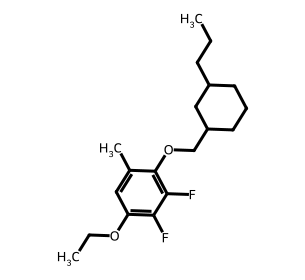 CCCC1CCCC(COc2c(C)cc(OCC)c(F)c2F)C1